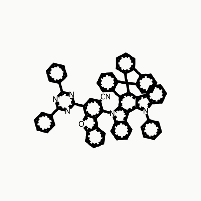 N#Cc1cc(-c2nc(-c3ccccc3)nc(-c3ccccc3)n2)c2oc3ccccc3c2c1-n1c2ccccc2c2c1c1c(c3c4ccccc4n(-c4ccccc4)c32)C2(c3ccccc3-c3ccccc32)c2ccccc2-1